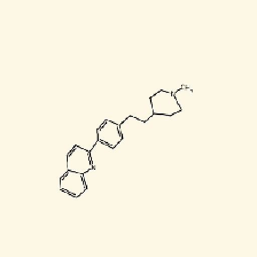 CN1CCC(CCc2ccc(-c3ccc4ccccc4n3)cc2)CC1